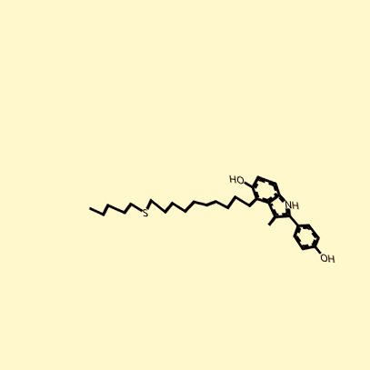 CCCCCSCCCCCCCCCCc1c(O)ccc2[nH]c(-c3ccc(O)cc3)c(C)c12